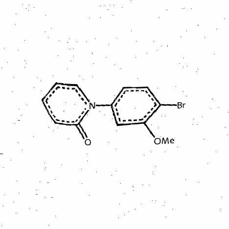 COc1cc(-n2ccccc2=O)ccc1Br